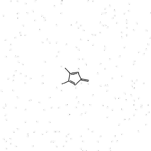 C=C1C=C(C)C(C)=C1